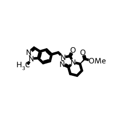 COC(=O)[C@H]1CCCc2nn(Cc3ccc4c(cnn4C)c3)c(=O)n21